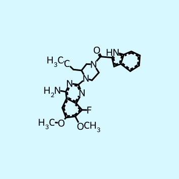 CCCC1CN(C(=O)c2cc3ccccc3[nH]2)CCN1c1nc(N)c2cc(OC)c(OC)c(F)c2n1